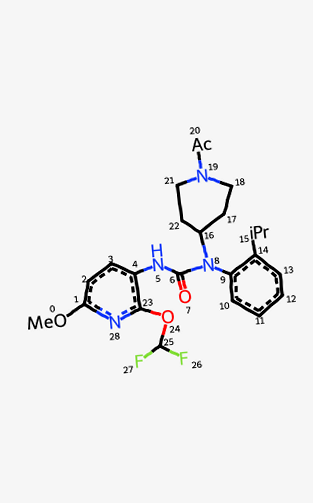 COc1ccc(NC(=O)N(c2ccccc2C(C)C)C2CCN(C(C)=O)CC2)c(OC(F)F)n1